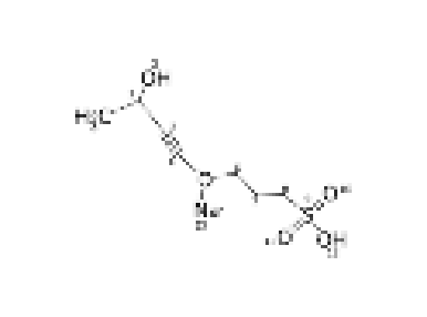 CC(O)C#COCCCS(=O)(=O)O.[Na]